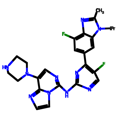 Cc1nc2c(F)cc(-c3nc(Nc4ncc(N5CCNCC5)c5nccn45)ncc3F)cc2n1C(C)C